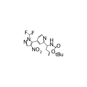 C=CCC(NC(=O)OC(C)(C)C)c1cc(-c2c([N+](=O)[O-])cnn2C(F)F)ccn1